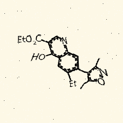 CCOC(=O)c1cnc2cc(-c3c(C)noc3C)c(CC)cc2c1O